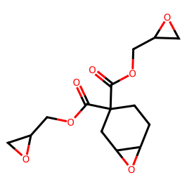 O=C(OCC1CO1)C1(C(=O)OCC2CO2)CCC2OC2C1